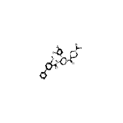 COc1ccc(-c2ccccc2)cc1C(=O)N(C)[C@@H]1CCN(C(=O)C2CCN(C(C)=O)CC2)C[C@H]1c1ccc(Cl)c(Cl)c1